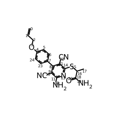 C=CCOc1ccc(-c2c(C#N)c(N)nc(SC(C)C(N)=O)c2C#N)cc1